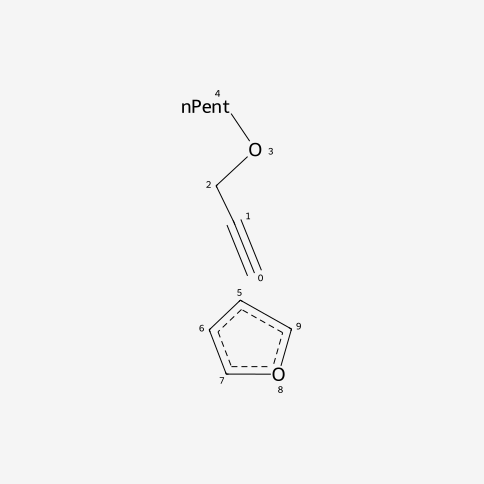 C#CCOCCCCC.c1ccoc1